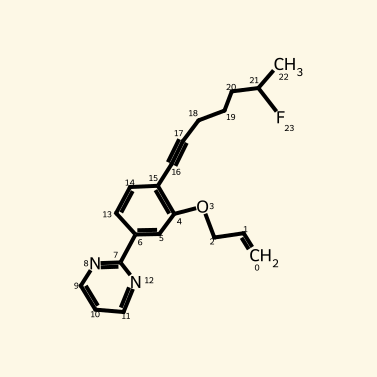 C=CCOc1cc(-c2ncccn2)ccc1C#CCCCC(C)F